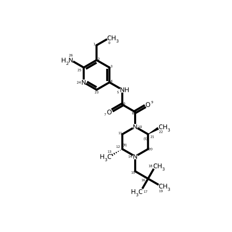 CCc1cc(NC(=O)C(=O)N2C[C@@H](C)N(CC(C)(C)C)C[C@@H]2C)cnc1N